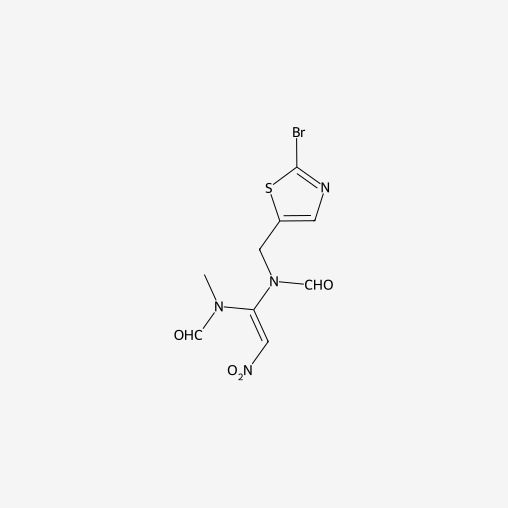 CN(C=O)C(=C[N+](=O)[O-])N(C=O)Cc1cnc(Br)s1